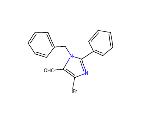 CC(C)c1nc(-c2ccccc2)n(Cc2ccccc2)c1C=O